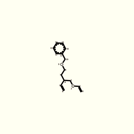 C=COCC(C=C)CCOCc1ccccc1